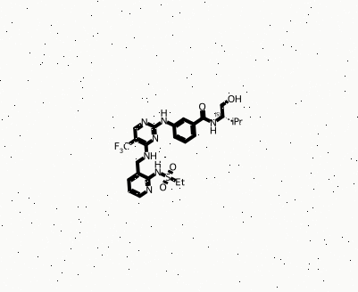 CCS(=O)(=O)Nc1ncccc1CNc1nc(Nc2cccc(C(=O)N[C@H](CO)C(C)C)c2)ncc1C(F)(F)F